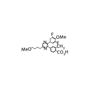 COCCCCc1cnc(C2C=C(F)C(OC)=C(F)C2)c(-c2ccc(C(=O)O)c(C)c2)n1